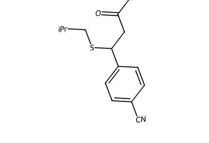 CC(C)CSC(CC(=O)C(C)C)c1ccc(C#N)cc1